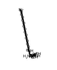 [N-]=[N+]=NCCOCCOCCOCCOCCOCCOCCOCCOCCOCCOCCOCCOCCC(=O)NCCCc1cn([C@@H]2O[C@H](CO)C(O)[C@@H]2O)c(=O)nc1N